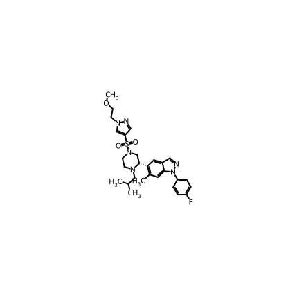 COCCn1cc(S(=O)(=O)N2CCN(CC(C)C)[C@@H](c3cc4cnn(-c5ccc(F)cc5)c4cc3C)C2)cn1